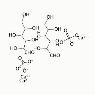 O=CC(O)C(O)C(O)C(O)CO.O=CC(O)C(O)C(O)C(O)CO.O=P([O-])([O-])[O-].O=P([O-])([O-])[O-].[Ca+2].[Ca+2].[Ca+2]